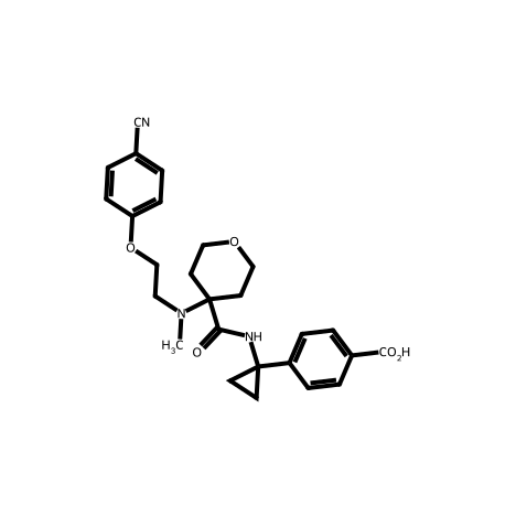 CN(CCOc1ccc(C#N)cc1)C1(C(=O)NC2(c3ccc(C(=O)O)cc3)CC2)CCOCC1